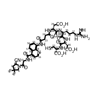 N#C[C@@H]1CC(F)(F)CN1C(=O)CNC(=O)c1ccnc2c(NC(=O)CCC(=O)N[C@@H](CC(=O)O)C(=O)N[C@@H](CCCNC(=N)N)C(=O)N[C@@H](CC(=O)O)C(=O)N[C@@H](CS)C(=O)O)cccc12